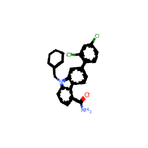 NC(=O)c1cccc2c1c1[c]cc(-c3ccc(Cl)cc3Cl)cc1n2CC1CCCCC1